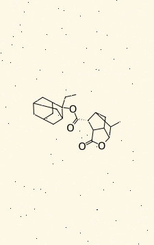 CCC1(OC(=O)[C@@H]2C3CC4C(OC(=O)C42)C3C)C2CC3CC(C2)CC1C3